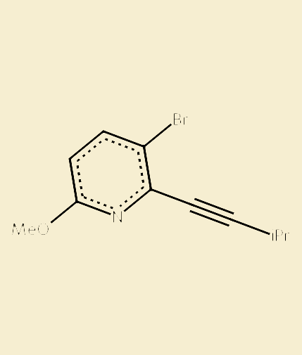 COc1ccc(Br)c(C#CC(C)C)n1